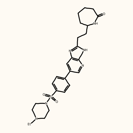 CCN1CCN(S(=O)(=O)c2ccc(-c3cnc4[nH]c(CCC5CCCCC(=O)N5)nc4c3)cc2)CC1